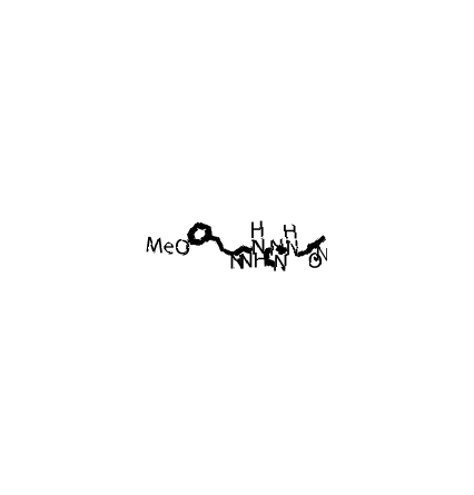 COc1cccc(CCc2cc(Nc3ccnc(NCc4cc(C)no4)n3)[nH]n2)c1